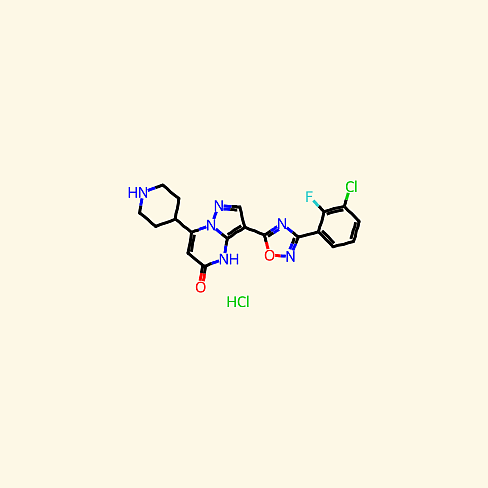 Cl.O=c1cc(C2CCNCC2)n2ncc(-c3nc(-c4cccc(Cl)c4F)no3)c2[nH]1